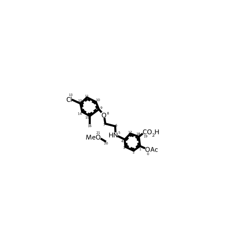 CC(=O)Oc1ccc(NCCOc2ccc(Cl)cc2C)cc1C(=O)O.COC